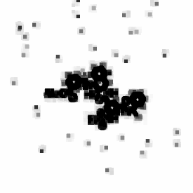 CCS(=O)(=O)Nc1cc(C(=O)NC(Cc2ccccc2)C(O)CNCc2cccc(C(=O)OC)c2)cc(C(=O)N[C@H](C)c2ccccc2)c1